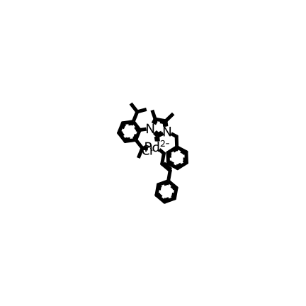 Cc1c(C)n(-c2c(C(C)C)cccc2C(C)C)[c](=[Pd-2]([Cl])[CH2]C=Cc2ccccc2)n1Cc1ccccc1